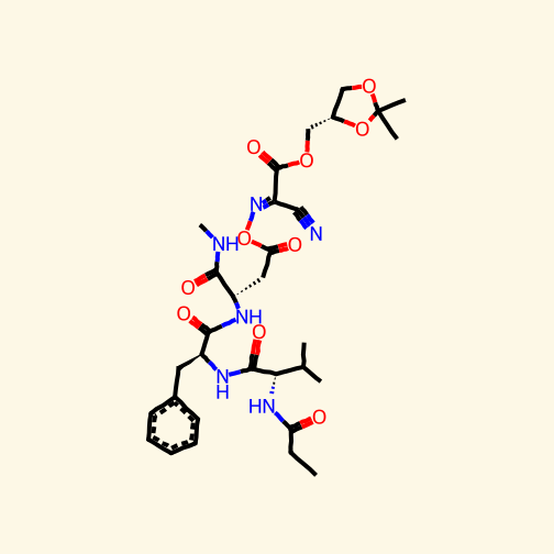 CCC(=O)N[C@H](C(=O)N[C@@H](Cc1ccccc1)C(=O)N[C@@H](CC(=O)O/N=C(\C#N)C(=O)OC[C@@H]1COC(C)(C)O1)C(=O)NC)C(C)C